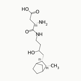 C[C@@H]1C2CCC(C2)[C@@H]1CC(O)CCNC(=O)[C@@H](N)CC(=O)O